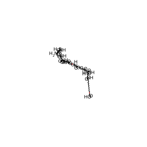 BN[C@@H](CCCCNC(=O)CC[C@H](NC(=O)CCCNC(=O)COCCOCCNC(=O)COCCOCCNC(=O)CC[C@H](NC(=O)CCCNC(=O)CCCCCCCCCCCCCCCCC(=O)O)C(=O)O)C(=O)O)C(=O)NCC(N)=O